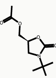 CC(=O)OC[C@@H]1CN(C(C)(C)C)C(=O)O1